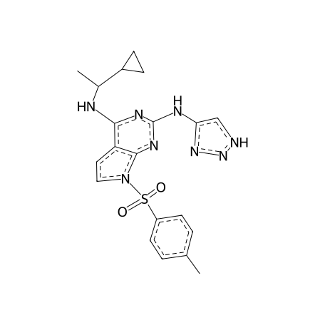 Cc1ccc(S(=O)(=O)n2ccc3c(NC(C)C4CC4)nc(Nc4c[nH]nn4)nc32)cc1